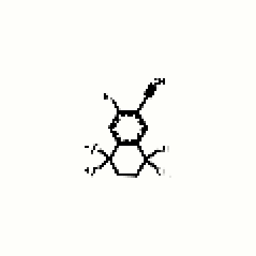 C#Cc1cc2c(cc1CC)C(C)(C)CCC2(C)C